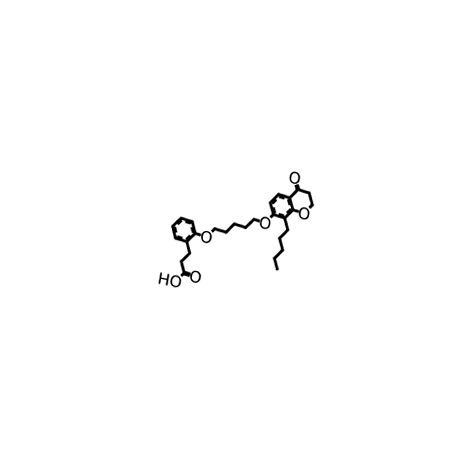 CCCCCc1c(OCCCCCOc2ccccc2CCC(=O)O)ccc2c1OCCC2=O